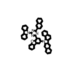 c1ccc2cc(-c3nc(-c4cc(-n5c6cc7ccccc7cc6c6ccc7ccccc7c65)cc5c4oc4ccccc45)nc(-n4c5ccccc5c5ccccc54)n3)ccc2c1